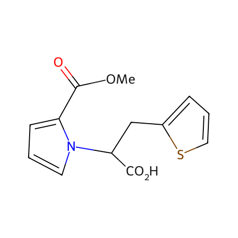 COC(=O)c1cccn1C(Cc1cccs1)C(=O)O